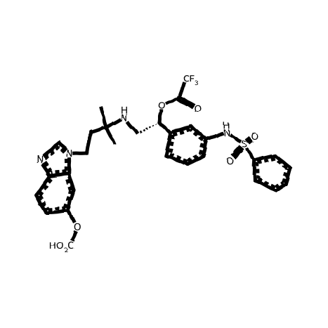 CC(C)(CCn1cnc2ccc(OC(=O)O)cc21)NC[C@H](OC(=O)C(F)(F)F)c1cccc(NS(=O)(=O)c2ccccc2)c1